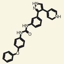 O=C(Nc1ccc(Oc2ccccc2)cc1)Nc1cccc(-c2n[nH]cc2C2=CCNC=C2)c1